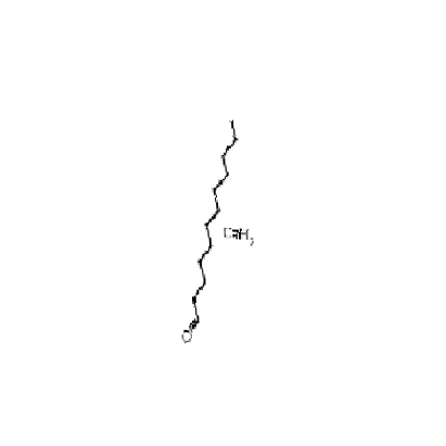 CCCCCCCCCCCC=O.[CaH2]